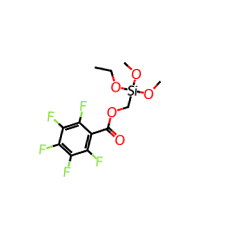 CCO[Si](COC(=O)c1c(F)c(F)c(F)c(F)c1F)(OC)OC